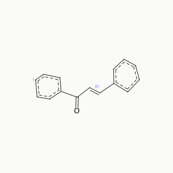 O=C(/C=C/c1ccccc1)c1cc[c]cc1